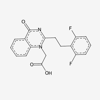 O=C(O)Cn1c(CCc2c(F)cccc2F)nc(=O)c2ccccc21